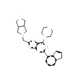 C1=Cc2c(cccc2-c2nc(N3CCOCC3)c3sc(CN4CC5CNCC5C4)nc3n2)C1